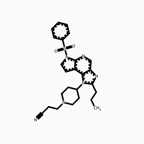 CCCc1nc2cnc3c(ccn3S(=O)(=O)c3ccccc3)c2n1C1CCN(CCC#N)CC1